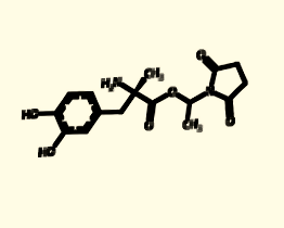 CC(OC(=O)[C@@](C)(N)Cc1ccc(O)c(O)c1)N1C(=O)CCC1=O